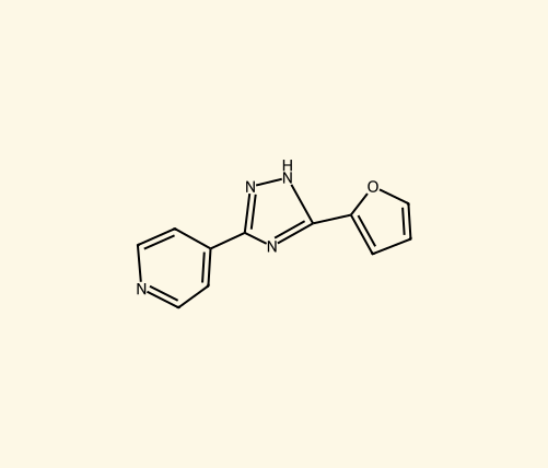 c1coc(-c2nc(-c3ccncc3)n[nH]2)c1